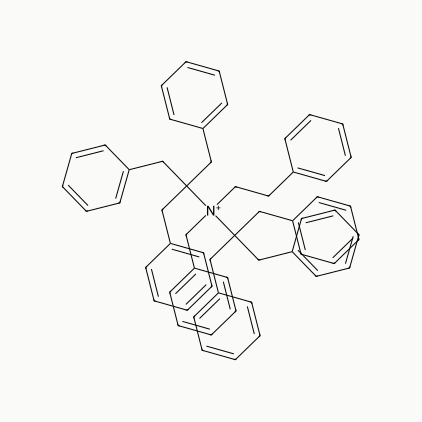 c1ccc(CC[N+](Cc2ccccc2)(C(Cc2ccccc2)(Cc2ccccc2)Cc2ccccc2)C(Cc2ccccc2)(Cc2ccccc2)Cc2ccccc2)cc1